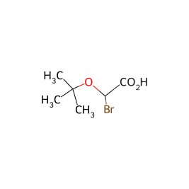 CC(C)(C)OC(Br)C(=O)O